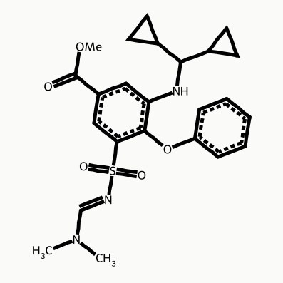 COC(=O)c1cc(NC(C2CC2)C2CC2)c(Oc2ccccc2)c(S(=O)(=O)N=CN(C)C)c1